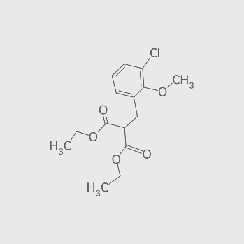 CCOC(=O)C(Cc1cccc(Cl)c1OC)C(=O)OCC